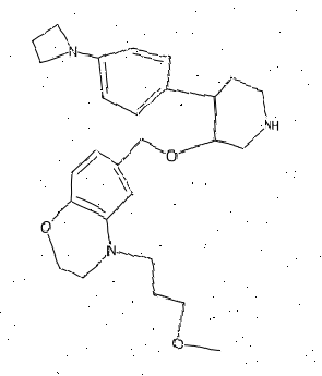 COCCCN1CCOc2ccc(COC3CNCCC3c3ccc(N4CCC4)cc3)cc21